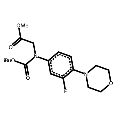 COC(=O)CN(C(=O)OCC(C)C)c1ccc(N2CCOCC2)c(F)c1